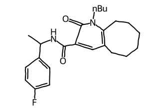 CCCCn1c2c(cc(C(=O)NC(C)c3ccc(F)cc3)c1=O)CCCCCC2